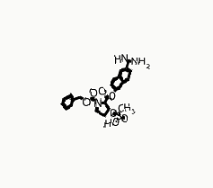 CS(=O)(=O)O.N=C(N)c1ccc2cc(OC(=O)C3CCCN3C(=O)OCc3ccccc3)ccc2c1